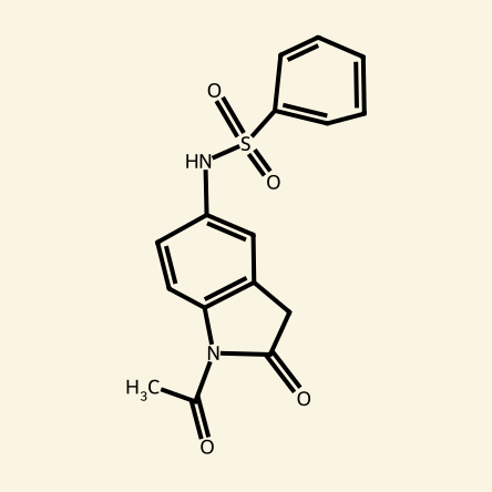 CC(=O)N1C(=O)Cc2cc(NS(=O)(=O)c3ccccc3)ccc21